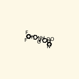 O=C1O[C@]2(CC[C@@H](C(=O)NC3CCN(c4cc(F)cc(F)c4)CC3)CC2)c2cnccc21